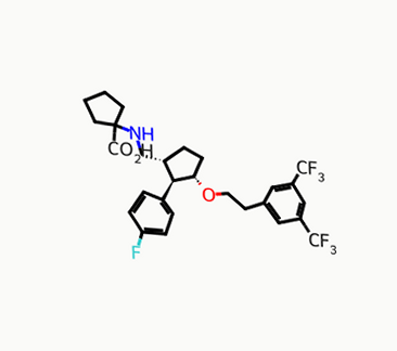 O=C(O)C1(NC[C@@H]2CC[C@H](OCCc3cc(C(F)(F)F)cc(C(F)(F)F)c3)[C@H]2c2ccc(F)cc2)CCCC1